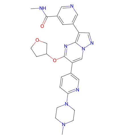 CNC(=O)c1cncc(-c2cnn3cc(-c4ccc(N5CCN(C)CC5)nc4)c(OC4CCOC4)nc23)c1